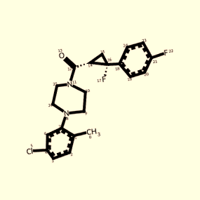 Cc1ccc(Cl)cc1N1CCN(C(=O)[C@@H]2C[C@@]2(F)c2ccc(F)cc2)CC1